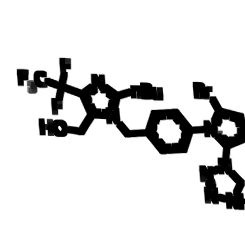 CCCCc1nc(C(F)(F)C(F)(F)F)c(CO)n1Cc1ccc(-n2c(Br)ccc2N2CNN=N2)cc1